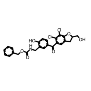 O=C(NCc1cc(C(=O)c2cc3c(c(Cl)c2Cl)OC(CO)C3)ccc1O)OCc1ccccc1